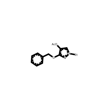 CCn1cc(OC(C)=O)c(OCc2ccccc2)n1